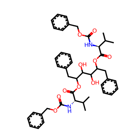 CC(C)[C@H](NC(=O)OCc1ccccc1)C(=O)OC(Cc1ccccc1)C(O)C(O)C(Cc1ccccc1)OC(=O)[C@@H](NC(=O)OCc1ccccc1)C(C)C